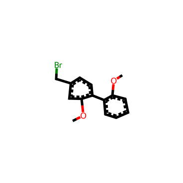 COc1ccccc1-c1ccc(CBr)cc1OC